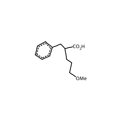 COCCCC(Cc1ccccc1)C(=O)O